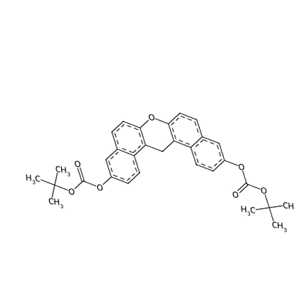 CC(C)(C)OC(=O)Oc1ccc2c3c(ccc2c1)Oc1ccc2cc(OC(=O)OC(C)(C)C)ccc2c1C3